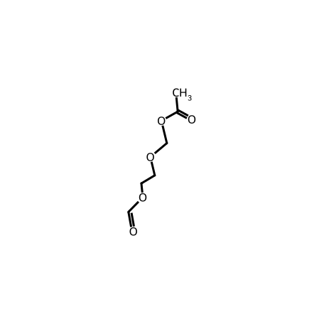 CC(=O)OCOCCOC=O